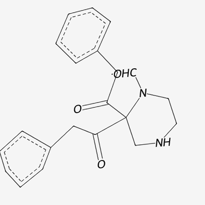 O=[C]N1CCNCC1(C(=O)Cc1ccccc1)C(=O)Cc1ccccc1